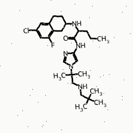 CCCC(NC1CCc2cc(Cl)cc(F)c2C1)C(=O)Nc1cn(C(C)(C)CNCC(C)(C)C)cn1